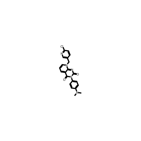 CN(C)c1ccc(-n2c(=O)nc3n(Cc4ccc(Cl)nc4)cccc-3c2=O)cc1